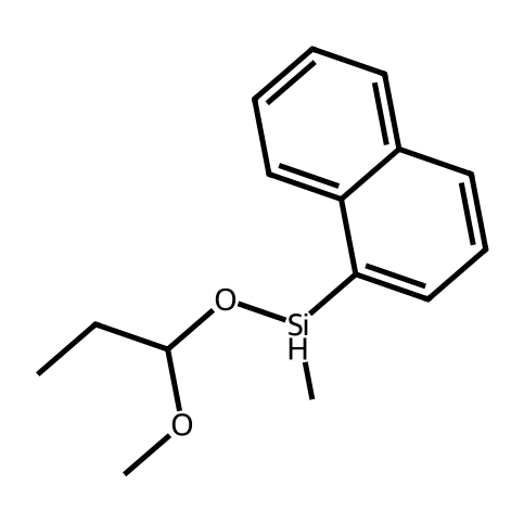 CCC(OC)O[SiH](C)c1cccc2ccccc12